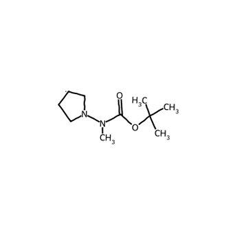 CN(C(=O)OC(C)(C)C)N1C[CH]CC1